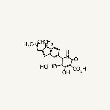 CC(C)c1c(-c2ccc3c(c2)cc(CN(C)C)n3C)[nH]c(=O)c(C(=O)O)c1O.Cl